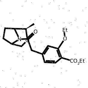 CCOC(=O)c1ccc(CC(=O)N2C3CCC2[C@@H](C)OC3)cc1OCC